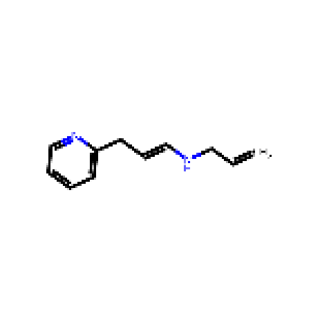 C=CCNC=CCc1ccccn1